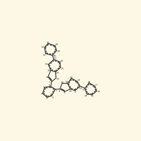 C1=C(c2ccccc2C2=Cc3cc(-c4ccccc4)ccc3C2)Cc2ccc(-c3ccccc3)cc21